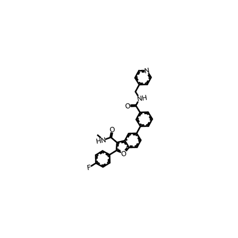 CNC(=O)c1c(-c2ccc(F)cc2)oc2ccc(-c3cccc(C(=O)NCc4ccncc4)c3)cc12